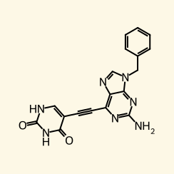 Nc1nc(C#Cc2c[nH]c(=O)[nH]c2=O)c2ncn(Cc3ccccc3)c2n1